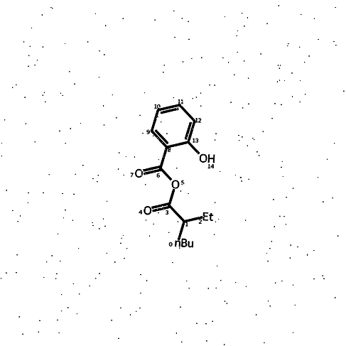 CCCCC(CC)C(=O)OC(=O)c1ccccc1O